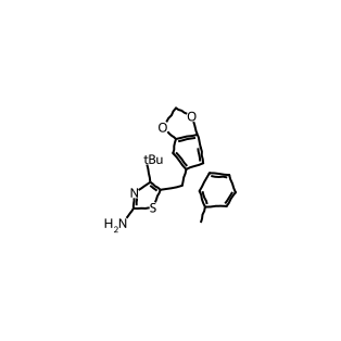 CC(C)(C)c1nc(N)sc1Cc1ccc2c(c1)OCO2.Cc1ccccc1